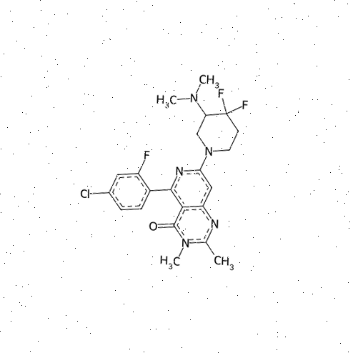 Cc1nc2cc(N3CCC(F)(F)C(N(C)C)C3)nc(-c3ccc(Cl)cc3F)c2c(=O)n1C